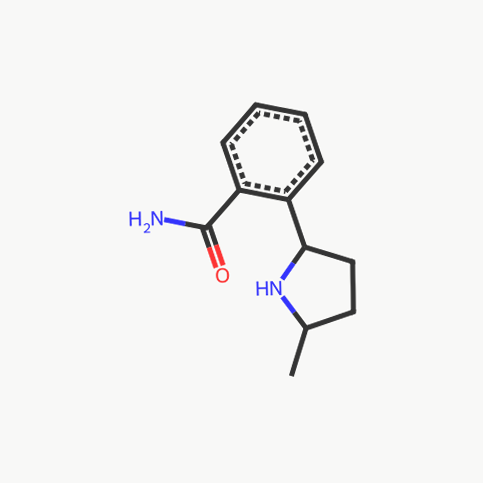 CC1CCC(c2ccccc2C(N)=O)N1